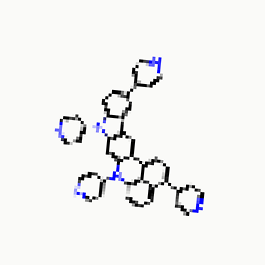 c1cc2c3c(ccc(-c4ccncc4)c3c1)-c1cc3c4cc(-c5ccncc5)ccc4n(-c4ccncc4)c3cc1N2c1ccncc1